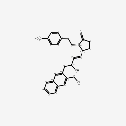 O=C(O)c1ccc(CC[C@H]2C(=O)CC[C@@H]2/C=C/C(O)Cc2cc3ccccc3cc2CO)cc1